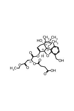 CCOC(=O)C[C@H](OC(=O)CCC(=O)O)C(=O)OC1=CC[C@@]2(O)[C@@H](C)N(C)CC[C@@]23c2c(C)ccc(CO)c2O[C@@H]13